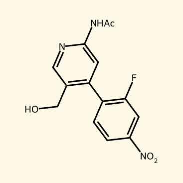 CC(=O)Nc1cc(-c2ccc([N+](=O)[O-])cc2F)c(CO)cn1